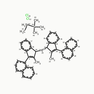 CC1=C(c2cccc3ccccc23)c2ccccc2[CH]1[Hf+2][CH]1C(C)=C(c2cccc3ccccc23)c2ccccc21.C[SiH2][Si](C)(C)C.[Cl-].[Cl-]